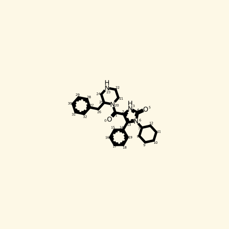 O=C(c1[nH]c(=O)n(C2CCCCC2)c1-c1ccccc1)N1CCNCC1Cc1ccccc1